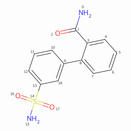 NC(=O)c1c[c]ccc1-c1cccc(S(N)(=O)=O)c1